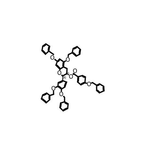 O=C(O[C@@H]1Cc2c(OCc3ccccc3)cc(OCc3ccccc3)cc2O[C@@H]1c1ccc(OCc2ccccc2)c(OCc2ccccc2)c1)c1ccc(OCc2ccccc2)cc1